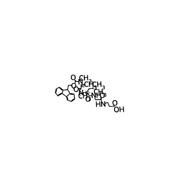 CC(C)C[C@@H](C(=O)NCC(=O)NCCC(=O)O)N(C)C(=O)[C@H](C)N(C)C(=O)OCC1c2ccccc2-c2ccccc21